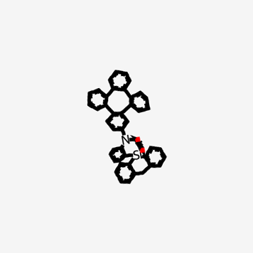 c1ccc2c(c1)Cc1ccccc1[Si]21c2ccccc2N(c2ccc3c(c2)-c2ccccc2-c2ccccc2-c2ccccc2-3)c2ccccc21